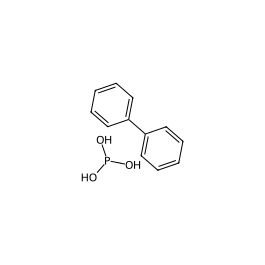 OP(O)O.c1ccc(-c2ccccc2)cc1